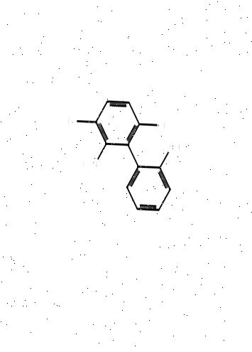 Nc1ccccc1-c1c(Cl)ccc(Br)c1N